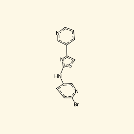 Brc1ccc(Nc2nc(-c3cccnc3)cs2)cn1